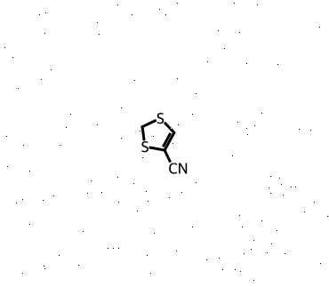 N#CC1=CSCS1